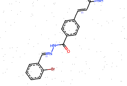 O=C(/C=C/c1ccc(C(=O)N/N=C/c2ccccc2Br)cc1)NO